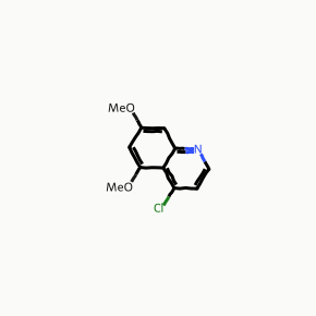 COc1cc(OC)c2c(Cl)ccnc2c1